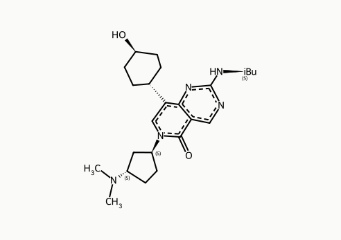 CC[C@H](C)Nc1ncc2c(=O)n([C@H]3CC[C@H](N(C)C)C3)cc([C@H]3CC[C@H](O)CC3)c2n1